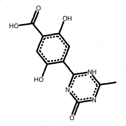 Cc1nc(=O)nc(-c2cc(O)c(C(=O)O)cc2O)[nH]1